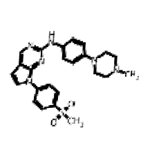 CN1CCN(c2ccc(Nc3ncc4ccn(-c5ccc(S(C)(=O)=O)cc5)c4n3)cc2)CC1